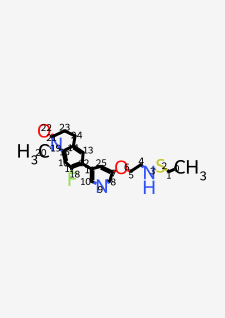 CCSNCCOc1cncc(-c2cc3c(cc2F)N(C)C(=O)CC3)c1